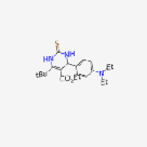 CCOC(=O)C1=C(C(C)(C)C)NC(=S)NC1c1ccc(N(CC)CC)cc1